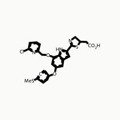 CSc1ccc(Oc2cc(OCc3cccc(Cl)n3)c3[nH]c(C4=NCC(CC(=O)O)S4)cc3c2)cc1